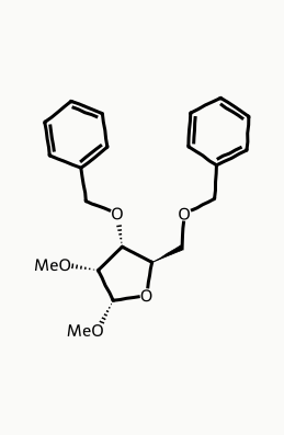 CO[C@H]1O[C@H](COCc2ccccc2)[C@@H](OCc2ccccc2)[C@H]1OC